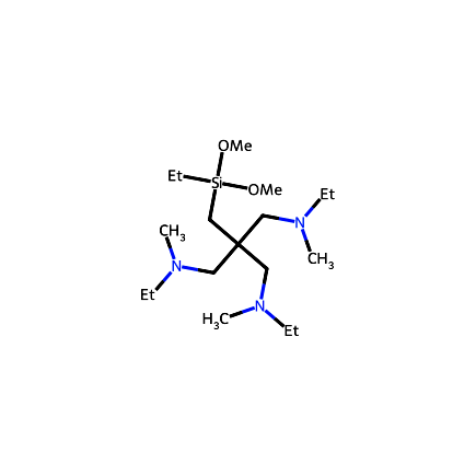 CCN(C)CC(CN(C)CC)(CN(C)CC)C[Si](CC)(OC)OC